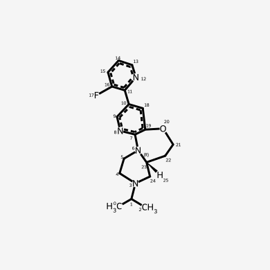 CC(C)N1CCN2c3ncc(-c4ncccc4F)cc3OCC[C@@H]2C1